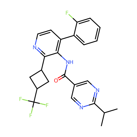 CC(C)c1ncc(C(=O)Nc2c(-c3ccccc3F)ccnc2C2CC(C(F)(F)F)C2)cn1